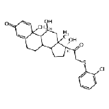 CC12C=CC(=O)C=C1CCC1C2[C@@H](O)CC2(C)C1CC[C@]2(O)C(=O)CSc1ccccc1Cl